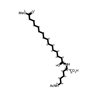 COC(=O)CCCCCCCCCCCCCCC(=O)N[C@@H](CCCCNC(C)=O)C(=O)O